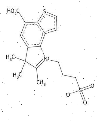 CC1=[N+](CCCS(=O)(=O)[O-])c2c(cc(C(=O)O)c3sccc23)C1(C)C